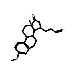 COc1ccc2c(c1)CCC1C2CC[C@]2(C)C(=O)CC(CCC=O)C12